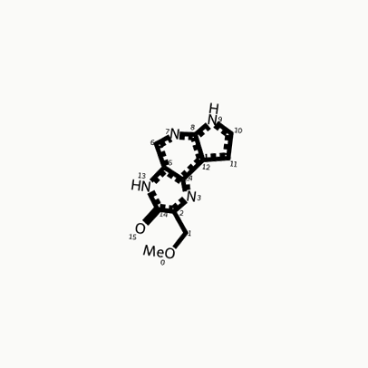 COCc1nc2c(cnc3[nH]ccc32)[nH]c1=O